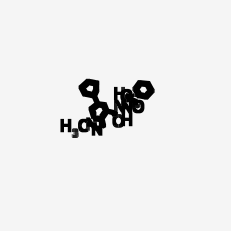 Cn1ncc2c(C(=O)NNS(=O)(=O)c3ccccc3)cc(-c3ccccc3)cc21